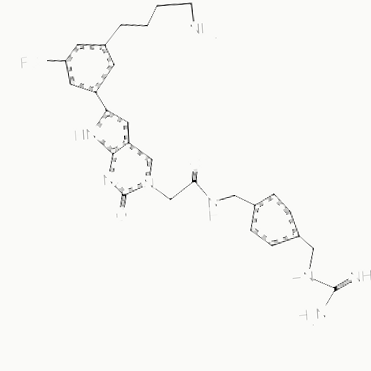 C[C@H](N)CCCc1cc(-c2cc3cn(CC(=O)NCc4ccc(CNC(=N)N)cc4)c(=O)nc3[nH]2)cc(C(F)(F)F)c1